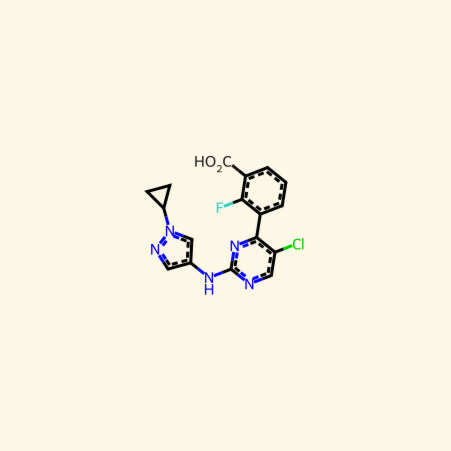 O=C(O)c1cccc(-c2nc(Nc3cnn(C4CC4)c3)ncc2Cl)c1F